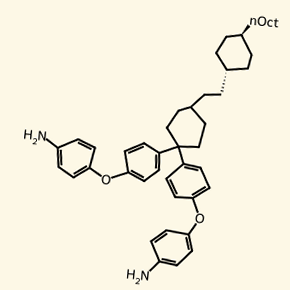 CCCCCCCC[C@H]1CC[C@H](CCC2CCC(c3ccc(Oc4ccc(N)cc4)cc3)(c3ccc(Oc4ccc(N)cc4)cc3)CC2)CC1